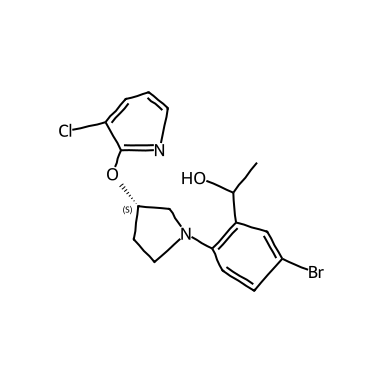 CC(O)c1cc(Br)ccc1N1CC[C@H](Oc2ncccc2Cl)C1